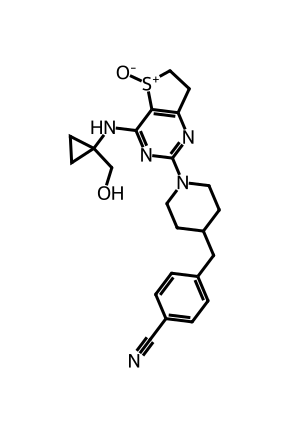 N#Cc1ccc(CC2CCN(c3nc4c(c(NC5(CO)CC5)n3)[S+]([O-])CC4)CC2)cc1